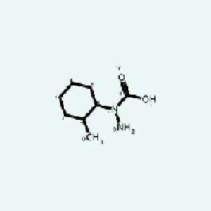 CC1CCCCC1N(N)C(=O)O